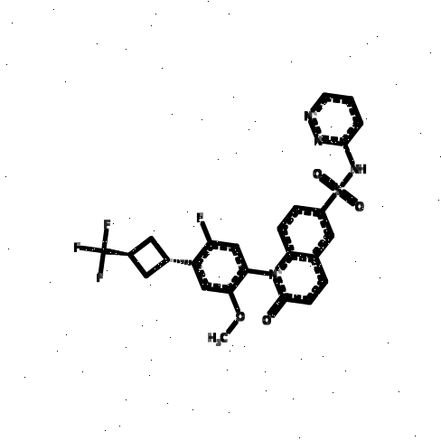 COc1cc([C@H]2C[C@H](C(F)(F)F)C2)c(F)cc1-n1c(=O)ccc2cc(S(=O)(=O)Nc3cccnn3)ccc21